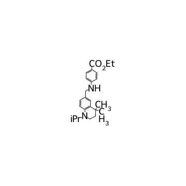 CCOC(=O)c1ccc(NCc2ccc3c(c2)C(C)(C)CCN3C(C)C)cc1